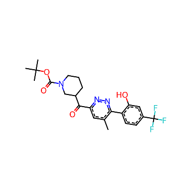 Cc1cc(C(=O)C2CCCN(C(=O)OC(C)(C)C)C2)nnc1-c1ccc(C(F)(F)F)cc1O